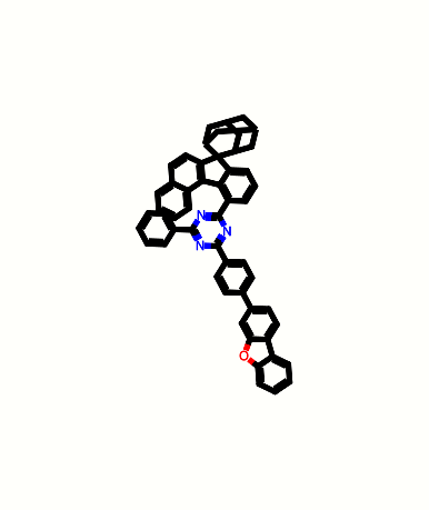 c1ccc(-c2nc(-c3ccc(-c4ccc5c(c4)oc4ccccc45)cc3)nc(-c3cccc4c3-c3c(ccc5ccccc35)C43C4CC5CC(C4)CC3C5)n2)cc1